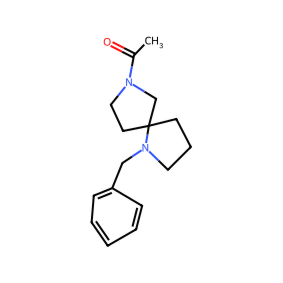 CC(=O)N1CCC2(CCCN2Cc2ccccc2)C1